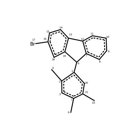 Cc1cc(C)c(C2c3ccccc3-c3ccc(Br)cc32)cc1C